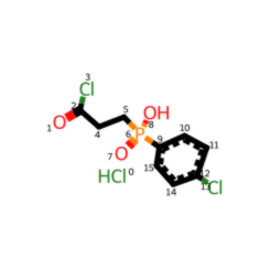 Cl.O=C(Cl)CCP(=O)(O)c1ccc(Cl)cc1